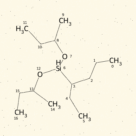 CCCC(CC)[SiH](OC(C)CC)OC(C)CC